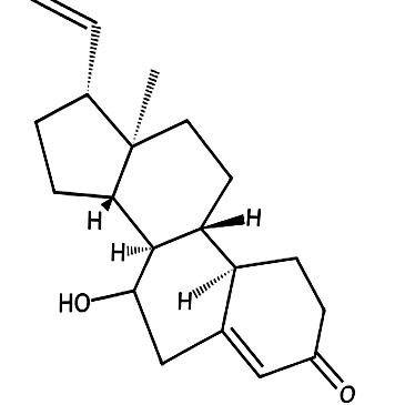 C=C[C@H]1CC[C@H]2[C@@H]3C(O)CC4=CC(=O)CC[C@@H]4[C@H]3CC[C@]12C